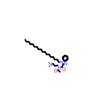 CCCCCCCCCCCCCCCCCCn1c(C(=O)N(CCCN(C)C)C(C)=O)nc2ccccc21